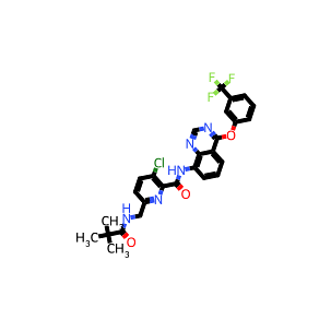 CC(C)(C)C(=O)NCc1ccc(Cl)c(C(=O)Nc2cccc3c(Oc4cccc(C(F)(F)F)c4)ncnc23)n1